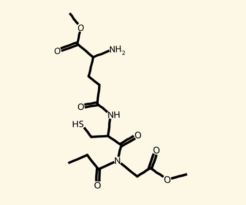 CCC(=O)N(CC(=O)OC)C(=O)C(CS)NC(=O)CCC(N)C(=O)OC